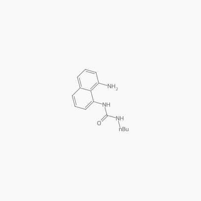 CCCCNC(=O)Nc1cccc2cccc(N)c12